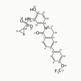 O=C1c2ccc(-c3ccc(OC(F)(F)F)cc3)cc2CCN1c1ccc(O)c(NS(=O)(=O)C2CC2)c1